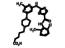 Cc1nc(Nc2ncc(C(=O)Nc3c(C)cccc3Cl)s2)cc(N2CCN(CCCCC(=O)O)CC2)n1